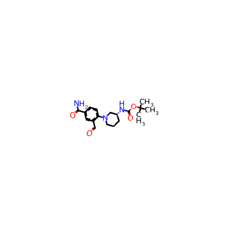 CC(C)(C)OC(=O)N[C@@H]1CCCN(c2ccc(C(N)=O)cc2C=O)C1